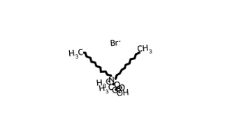 CCCCCCCCCCCC[N+](C)(CCCCCCCCCCCC)C(C)OS(=O)(=O)O.[Br-]